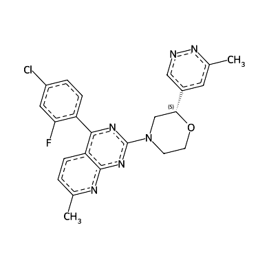 Cc1cc([C@H]2CN(c3nc(-c4ccc(Cl)cc4F)c4ccc(C)nc4n3)CCO2)cnn1